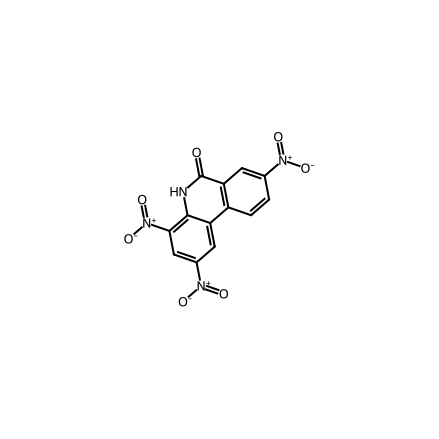 O=c1[nH]c2c([N+](=O)[O-])cc([N+](=O)[O-])cc2c2ccc([N+](=O)[O-])cc12